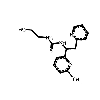 Cc1cccc(C(Cc2ccccn2)NC(=S)NCCO)n1